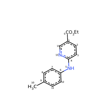 CCOC(=O)c1ccc(Nc2ccc(C)cc2)nc1